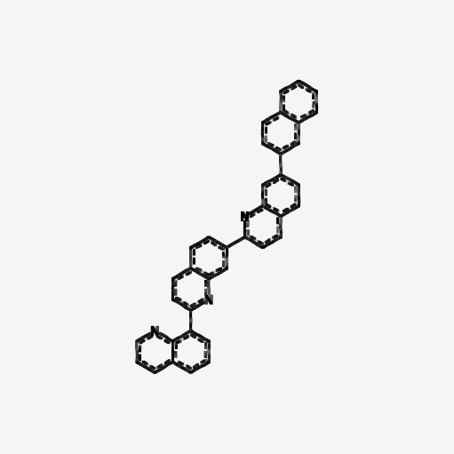 c1ccc2cc(-c3ccc4ccc(-c5ccc6ccc(-c7cccc8cccnc78)nc6c5)nc4c3)ccc2c1